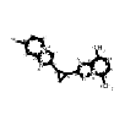 Cc1ncc(C)n2nc(C3CC3c3cn4ccc(I)cc4n3)nc12